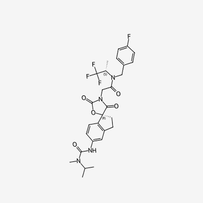 CC(C)N(C)C(=O)Nc1ccc2c(c1)CC[C@@]21OC(=O)N(CC(=O)N(Cc2ccc(F)cc2)[C@@H](C)C(F)(F)F)C1=O